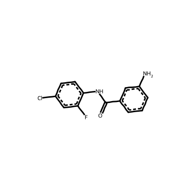 Nc1cccc(C(=O)Nc2ccc(Cl)cc2F)c1